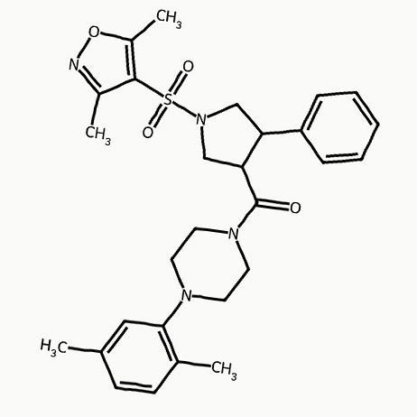 Cc1ccc(C)c(N2CCN(C(=O)C3CN(S(=O)(=O)c4c(C)noc4C)CC3c3ccccc3)CC2)c1